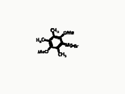 COc1c(C)c(C)c(OC)[c]([Mg][Br])c1C